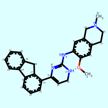 COc1cc2c(cc1NC1=NC(c3cccc4c3Cc3ccccc3-4)=CCN1)CN(C)CC2